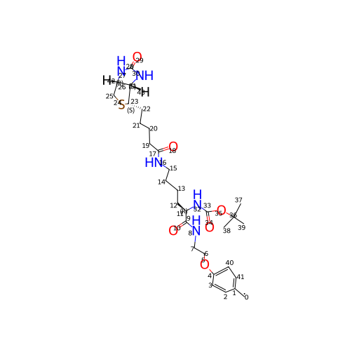 [CH2]c1ccc(OCCNC(=O)[C@@H](CCCCNC(=O)CCCC[C@@H]2SC[C@@H]3NC(=O)N[C@@H]32)NC(=O)OC(C)(C)C)cc1